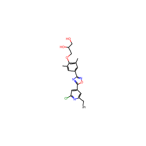 Cc1cc(-c2noc(-c3cc(Cl)nc(CC(C)C)c3)n2)cc(C)c1OCC(O)CO